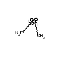 CCCCCCCCCCC(CI)(OOC(CI)(CCCCCCCCCC)c1ccccc1)c1ccccc1